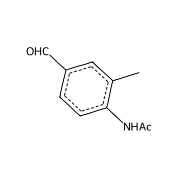 CC(=O)Nc1ccc(C=O)cc1C